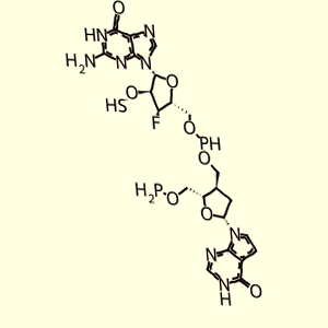 Nc1nc2c(ncn2[C@@H]2O[C@H](COPOC[C@H]3C[C@H](n4ccc5c(=O)[nH]cnc54)O[C@@H]3COP)[C@@H](F)[C@H]2OS)c(=O)[nH]1